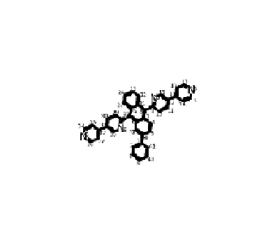 c1ccc(-c2ccc3c(-c4ccc(-c5ccncc5)cn4)c4ccccc4c(-c4ccc(-c5ccncc5)cn4)c3c2)cc1